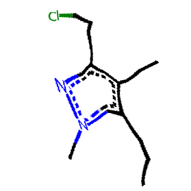 CCc1c(C)c(CCl)nn1C